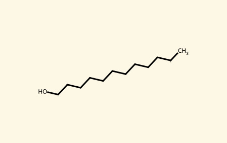 C[CH]CCCCCCCCCCO